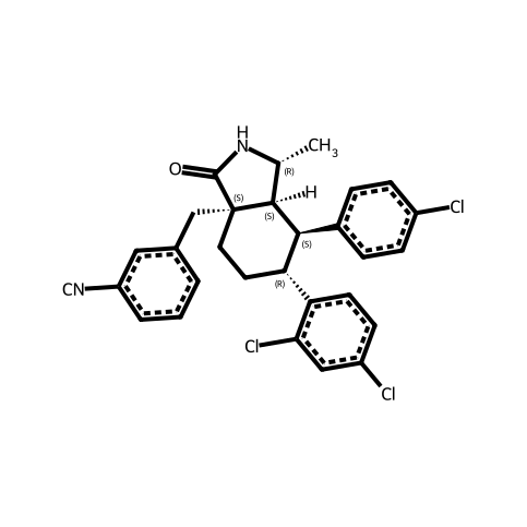 [C-]#[N+]c1cccc(C[C@@]23CC[C@@H](c4ccc(Cl)cc4Cl)[C@H](c4ccc(Cl)cc4)[C@@H]2[C@@H](C)NC3=O)c1